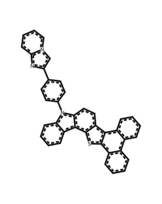 c1ccc2c(c1)c1ccccc1c1c3ccc4c(c5ccccc5n4-c4ccc(-c5cn6ccccc6n5)cc4)c3sc21